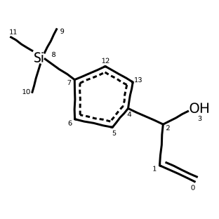 C=CC(O)c1ccc([Si](C)(C)C)cc1